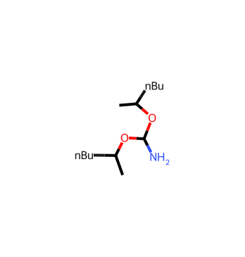 CCCCC(C)OC(N)OC(C)CCCC